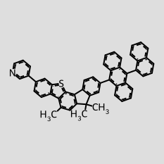 Cc1cc2c(c3sc4cc(-c5cccnc5)ccc4c13)-c1ccc(-c3c4ccccc4c(-c4cccc5ccccc45)c4ccccc34)cc1C2(C)C